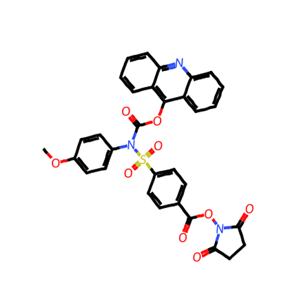 COc1ccc(N(C(=O)Oc2c3ccccc3nc3ccccc23)S(=O)(=O)c2ccc(C(=O)ON3C(=O)CCC3=O)cc2)cc1